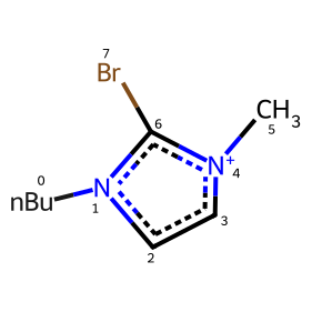 CCCCn1cc[n+](C)c1Br